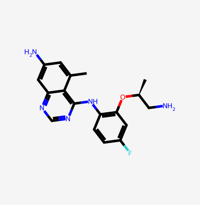 Cc1cc(N)cc2ncnc(Nc3ccc(F)cc3O[C@@H](C)CN)c12